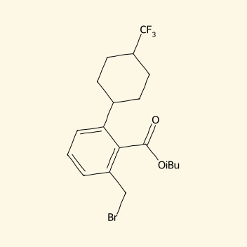 CC(C)COC(=O)c1c(CBr)cccc1C1CCC(C(F)(F)F)CC1